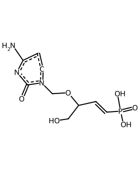 Nc1ccn(COC(/C=C/P(=O)(O)O)CO)c(=O)n1